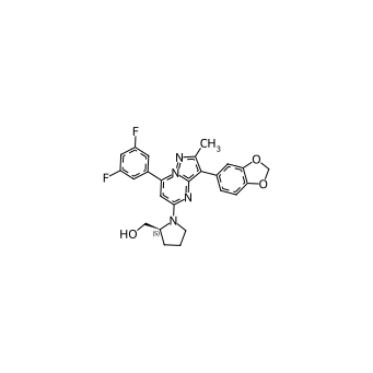 Cc1nn2c(-c3cc(F)cc(F)c3)cc(N3CCC[C@H]3CO)nc2c1-c1ccc2c(c1)OCO2